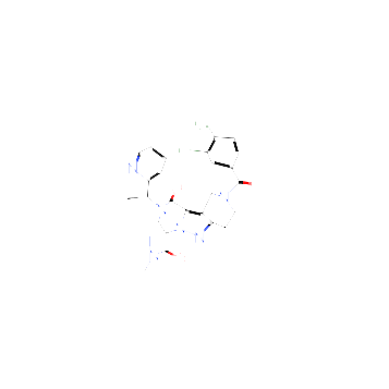 CNC(=O)[C@@H]1CN([C@@H](C)c2ccccn2)C(=O)c2c3c(nn21)C[C@@H](C)N(C(=O)c1ccc(Cl)c(Cl)c1)C3